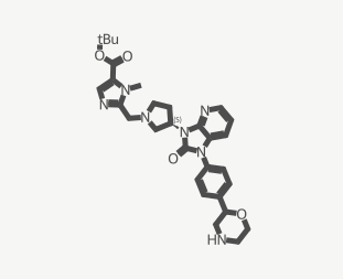 Cn1c(C(=O)OC(C)(C)C)cnc1CN1CC[C@H](n2c(=O)n(-c3ccc(C4CNCCO4)cc3)c3cccnc32)C1